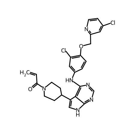 C=CC(=O)N1CCC(c2c[nH]c3ncnc(Nc4ccc(OCc5cc(Cl)ccn5)c(Cl)c4)c23)CC1